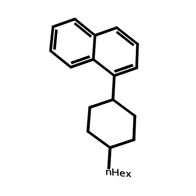 [CH2]CCCCCC1CCC(c2cccc3ccccc23)CC1